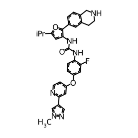 CC(C)c1cc(NC(=O)Nc2ccc(Oc3ccnc(-c4cnn(C)c4)c3)cc2F)c(-c2ccc3c(c2)CCNC3)o1